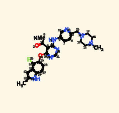 CNC(=O)c1c(Nc2ccc(CN3CCN(C)CC3)nc2)ncnc1Oc1ccc2[nH]c(C)cc2c1F